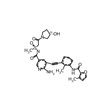 Cc1ccoc1C(=O)Nc1cccc(C#Cc2cc(C(=O)N=S(C)(=O)CC(=O)N3CC[C@H](O)C3)cnc2N)c1C